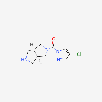 O=C(N1C[C@H]2CNC[C@H]2C1)n1cc(Cl)cn1